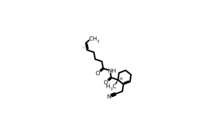 C/C=C\CCCC(=O)NC(=O)[C@]1(C)CCCC=C1CC#N